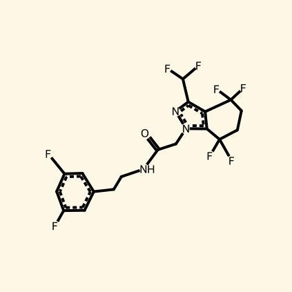 O=C(Cn1nc(C(F)F)c2c1C(F)(F)CCC2(F)F)NCCc1cc(F)cc(F)c1